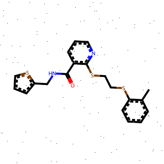 Cc1ccccc1SCCSc1ncccc1C(=O)NCc1cccs1